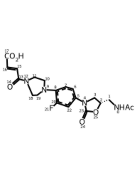 CC(=O)NC[C@H]1CN(c2ccc(N3CCN(C(=O)C=CC(=O)O)CC3)c(F)c2)C(=O)O1